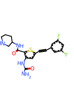 NC(=O)Nc1cc(C#Cc2cc(F)cc(F)c2)sc1C(=O)NC1CCCNC1